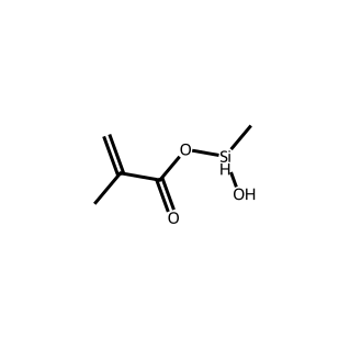 C=C(C)C(=O)O[SiH](C)O